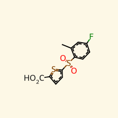 Cc1cc(F)ccc1S(=O)(=O)c1ccc(C(=O)O)s1